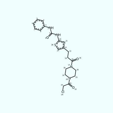 O=C(Nc1ccccc1)Nc1nc(CCC(=O)N2CCN(C(=O)CCl)CC2)cs1